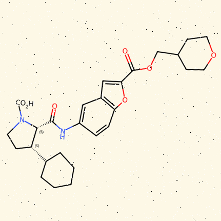 O=C(OCC1CCOCC1)c1cc2cc(NC(=O)[C@@H]3[C@H](C4CCCCC4)CCN3C(=O)O)ccc2o1